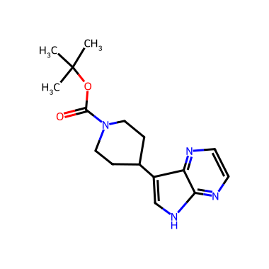 CC(C)(C)OC(=O)N1CCC(c2c[nH]c3nccnc23)CC1